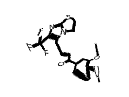 COc1ccc(C(=O)C=Cc2c(C(F)(F)F)nc3sccn23)cc1OC